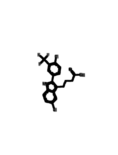 O=C(O)CCCc1c(-c2ccc(Cl)c(C(F)(F)F)c2)[nH]c2ccc(Cl)cc12